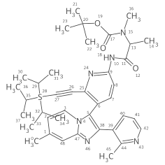 Cc1ccn2c(-c3ccc(NC(=O)C(C)N(C)C(=O)OC(C)(C)C)nc3C#CS(C(C)C)(C(C)C)C(C)C)c(-c3cccnc3C)nc2c1